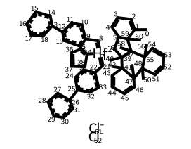 CC1=CC=CC2[CH]([Hf+2](=[CH]c3ccc(-c4ccccc4)cc3)(=[CH]c3ccc(-c4ccccc4)cc3)[C]3=CC=CC3)C3(C)C4(C)C=CC=CC4(C)C4(C)C=CC=CC4(C)C3(C)C12C.[Cl-].[Cl-]